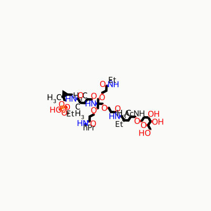 CCCNC(=O)CCOCC(COCCC(=O)NCC)(COCCC(=O)NCC(CC)CC(C)COC1OC(CO)C(O)C(O)C1NC(C)=O)NC(=O)C(C)CC(C)C(=O)NCC1CC1(C)COP(=O)(O)OCC